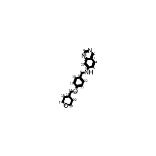 c1ncc2ccc(NCc3ccc(OCC4CCOCC4)cc3)cc2n1